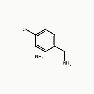 N.NCc1ccc(Cl)cc1